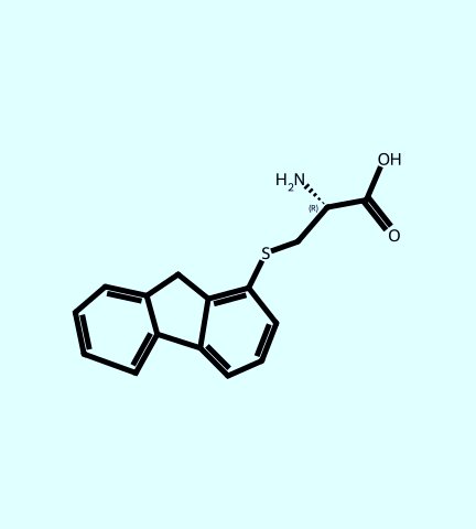 N[C@@H](CSc1cccc2c1Cc1ccccc1-2)C(=O)O